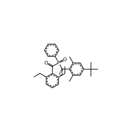 CCc1cccc(CC)c1C(=O)P(=O)(C(=O)c1c(C)cc(C(C)(C)C)cc1C)c1ccccc1